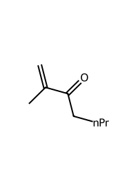 [CH2]CCCC(=O)C(=C)C